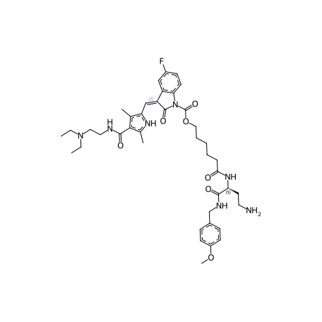 CCN(CC)CCNC(=O)c1c(C)[nH]c(/C=C2\C(=O)N(C(=O)OCCCCCC(=O)N[C@@H](CCN)C(=O)NCc3ccc(OC)cc3)c3ccc(F)cc32)c1C